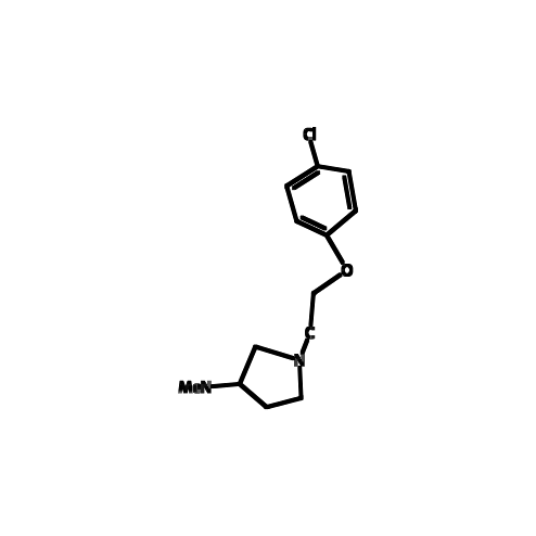 CNC1CCN(CCOc2ccc(Cl)cc2)C1